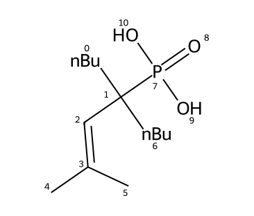 CCCCC(C=C(C)C)(CCCC)P(=O)(O)O